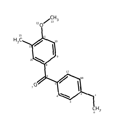 CCc1ccc(C(=O)c2ccc(OC)c(C)c2)cc1